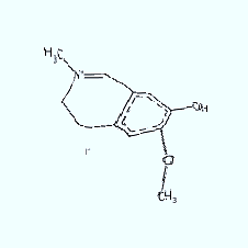 COc1cc2c(cc1O)C=[N+](C)CC2.[I-]